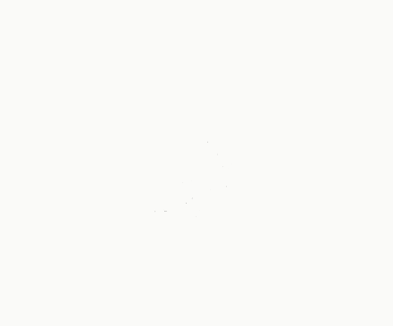 [Al+3].[O]=[V](=[O])[O-].[O]=[V](=[O])[O-].[O]=[V](=[O])[O-]